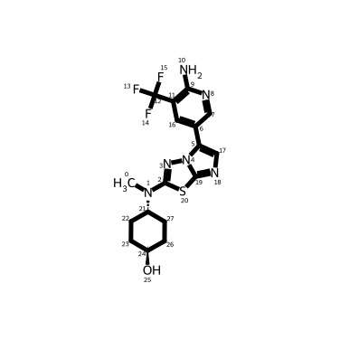 CN(c1nn2c(-c3cnc(N)c(C(F)(F)F)c3)cnc2s1)[C@H]1CC[C@H](O)CC1